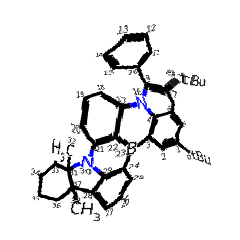 CC(C)(C)c1cc2c3c(c1)c(C(C)(C)C)c(-c1ccccc1)n3-c1cccc3c1B2c1cccc2c1N3C1(C)CCCCC21C